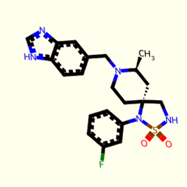 C[C@H]1C[C@]2(CCN1Cc1ccc3[nH]cnc3c1)CNS(=O)(=O)N2c1cccc(F)c1